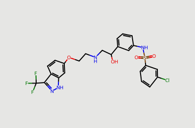 O=S(=O)(Nc1cccc(C(O)CNCCOc2ccc3c(C(F)(F)F)n[nH]c3c2)c1)c1cccc(Cl)c1